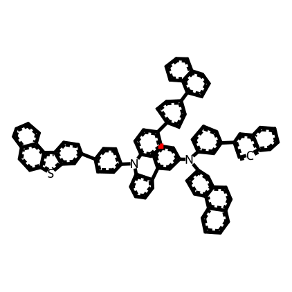 c1cc(-c2ccc3ccccc3c2)cc(N(c2cccc(-c3ccccc3N(c3ccc(-c4ccc(-c5cccc6ccccc56)cc4)cc3)c3ccc(-c4ccc5c(c4)sc4ccc6ccccc6c45)cc3)c2)c2ccc3c(ccc4ccccc43)c2)c1